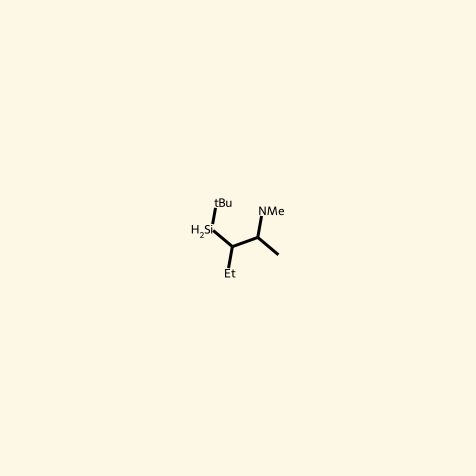 CCC([SiH2]C(C)(C)C)C(C)NC